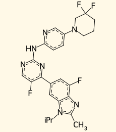 Cc1nc2c(F)cc(-c3nc(Nc4ccc(N5CCCC(F)(F)C5)cn4)ncc3F)cc2n1C(C)C